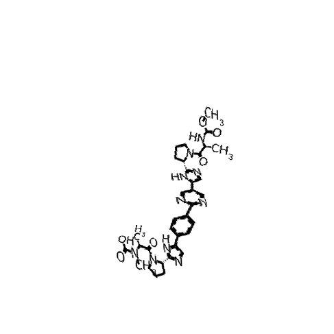 COC(=O)N[C@@H](C)C(=O)N1CCC[C@H]1c1ncc(-c2cnc(-c3ccc(-c4cnc([C@@H]5CCCN5C(=O)[C@H](C)N(C)C(=O)O)[nH]4)cc3)nc2)[nH]1